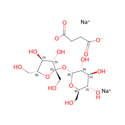 O=C([O-])CCC(=O)[O-].OC[C@H]1O[C@@](CO)(O[C@H]2O[C@H](CO)[C@@H](O)[C@H](O)[C@H]2O)[C@@H](O)[C@@H]1O.[Na+].[Na+]